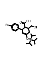 CC(C)[Si](OC1=CC(c2ccc(Br)cc2)C(C(=O)O)C(CO)C1)(C(C)C)C(C)C